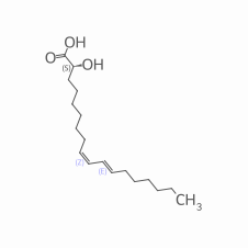 CCCCCC/C=C/C=C\CCCCCC[C@H](O)C(=O)O